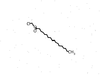 CCCCCCCCC=CCCCCCCCC(=O)OCCCl